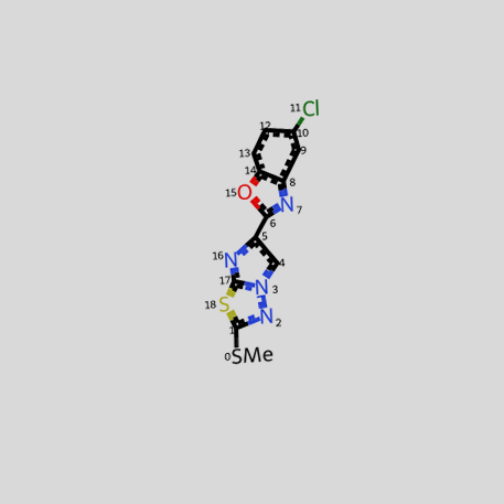 CSc1nn2cc(-c3nc4cc(Cl)ccc4o3)nc2s1